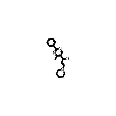 Cc1nc(-c2ccccc2)ncc1C(=O)C=CN1CCCCC1